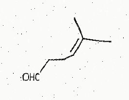 CC(C)=CC[C]=O